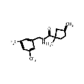 C=C1CCC(C)(C(=O)NCc2cc(C(F)(F)F)cc(C(F)(F)F)c2)C1